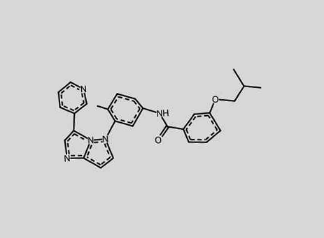 Cc1ccc(NC(=O)c2cccc(OCC(C)C)c2)cc1-n1ccc2ncc(-c3cccnc3)n21